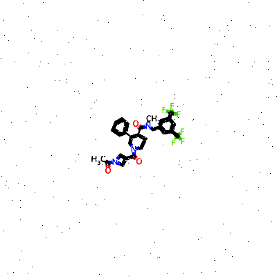 CC(=O)N1CC(C(=O)N2CC[C@H](C(=O)N(C)Cc3cc(C(F)(F)F)cc(C(F)(F)F)c3)[C@H](c3ccccc3)C2)C1